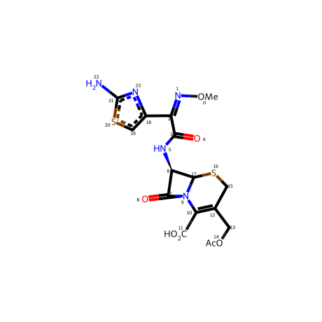 CO/N=C(\C(=O)N[C@@H]1C(=O)N2C(C(=O)O)=C(COC(C)=O)CSC12)c1csc(N)n1